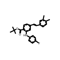 Cc1ccc(/C=C/c2ccc(C(=O)OC(C)(C)C)c(Nc3ccc(F)cc3)c2)cc1C